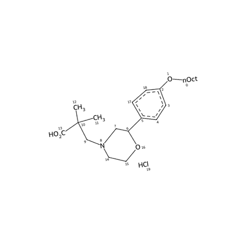 CCCCCCCCOc1ccc(C2CN(CC(C)(C)C(=O)O)CCO2)cc1.Cl